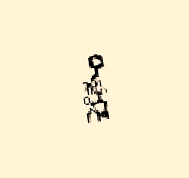 CCN(CC)C(=O)C(CC1CC1)C(=O)NS(=O)(=O)C=Cc1ccccc1